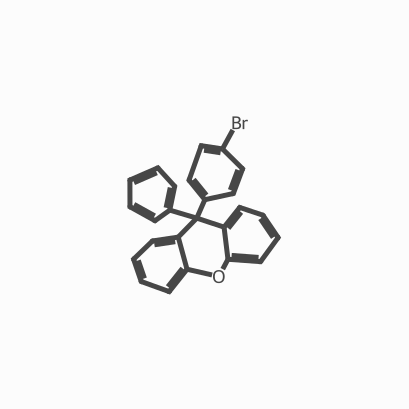 Brc1ccc(C2(c3ccccc3)c3ccccc3Oc3ccccc32)cc1